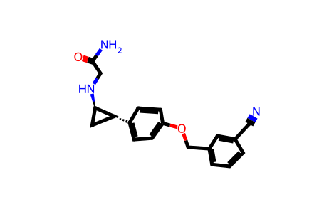 N#Cc1cccc(COc2ccc([C@@H]3C[C@H]3NCC(N)=O)cc2)c1